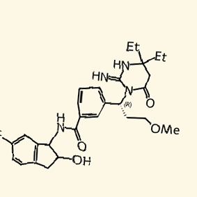 CCC1(CC)CC(=O)N([C@H](CCOC)c2cccc(C(=O)NC3c4cc(F)ccc4CC3O)c2)C(=N)N1